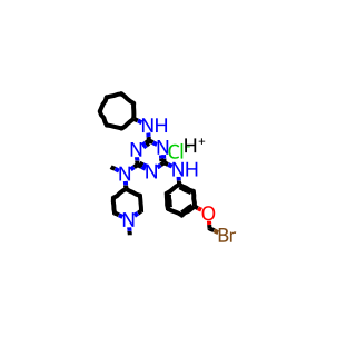 CN1CCC(N(C)c2nc(Nc3cccc(OCBr)c3)nc(NC3CCCCCC3)n2)CC1.[Cl-].[H+]